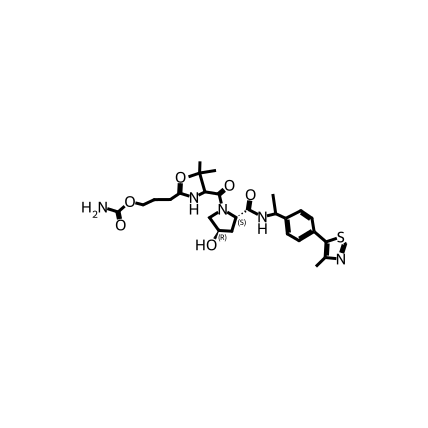 Cc1ncsc1-c1ccc(C(C)NC(=O)[C@@H]2C[C@@H](O)CN2C(=O)C(NC(=O)CCCOC(N)=O)C(C)(C)C)cc1